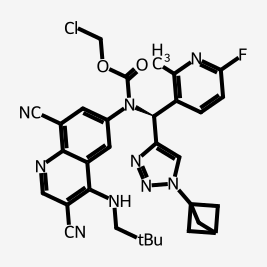 Cc1nc(F)ccc1[C@@H](c1cn(C23CC(C2)C3)nn1)N(C(=O)OCCl)c1cc(C#N)c2ncc(C#N)c(NCC(C)(C)C)c2c1